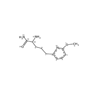 COc1cccc(CCCC(N)C(N)=O)n1